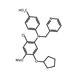 COc1cc(Cl)c(N(Cc2cccnc2)c2ccc(C(=O)O)cc2)cc1OC1CCCC1